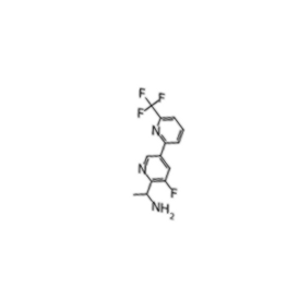 CC(N)c1ncc(-c2cccc(C(F)(F)F)n2)cc1F